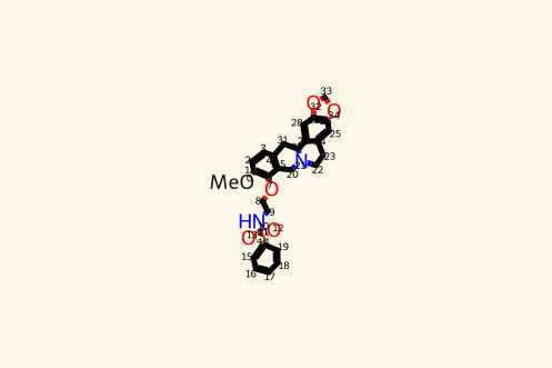 COc1ccc2c(c1OCCNS(=O)(=O)c1ccccc1)CN1CCc3cc4c(cc3C1C2)OCO4